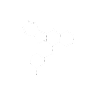 Clc1cccc(Nc2c3cnccc3nc3c2nn2ccncc32)c1